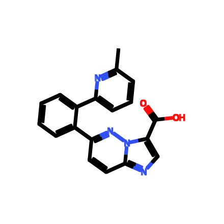 Cc1cccc(-c2ccccc2-c2ccc3ncc(C(=O)O)n3n2)n1